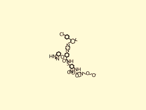 COCCOCCN1CCO[C@H](CNc2ccc(SNC(=O)c3ccc(N4CCN(CC5=C(c6ccc(Cl)cc6)CC(C)(C)CC5)CC4)cc3Oc3cccc4[nH]cnc34)cc2[N+](=O)[O-])C1